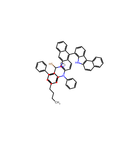 C/C=C(\C=C/c1c(NC(S)c2ccc(CCCC)cc2-c2ccccc2)cc2ccccc2c1-c1cccc2c1[nH]c1ccc3ccccc3c12)N(c1ccccc1)c1ccccc1